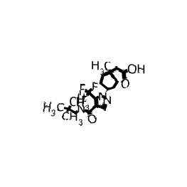 CC(C)(C)CNC(=O)c1cnn([C@H]2CC[C@](C)(CC(=O)O)CC2)c1C(F)(F)F